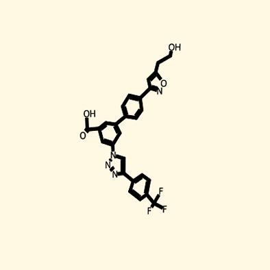 O=C(O)c1cc(-c2ccc(-c3cc(CCO)on3)cc2)cc(-n2cc(-c3ccc(C(F)(F)F)cc3)nn2)c1